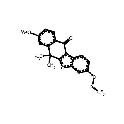 COc1ccc2c(c1)C(C)(C)c1oc3cc(OSC(F)(F)F)ccc3c1C2=O